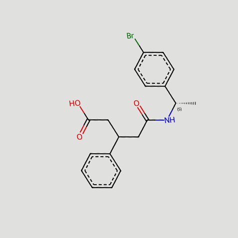 C[C@H](NC(=O)CC(CC(=O)O)c1ccccc1)c1ccc(Br)cc1